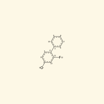 [O]c1ccc(-c2ccccc2)c(F)c1